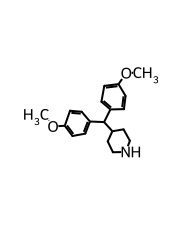 COc1ccc(C(c2ccc(OC)cc2)C2CCNCC2)cc1